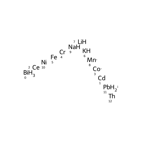 [BiH3].[Cd].[Ce].[Co].[Cr].[Fe].[KH].[LiH].[Mn].[NaH].[Ni].[PbH2].[Th]